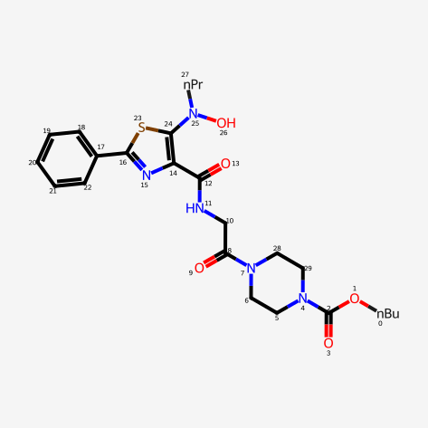 CCCCOC(=O)N1CCN(C(=O)CNC(=O)c2nc(-c3ccccc3)sc2N(O)CCC)CC1